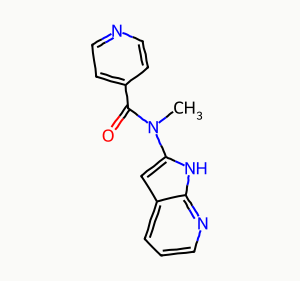 CN(C(=O)c1ccncc1)c1cc2cccnc2[nH]1